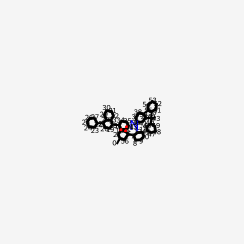 Cc1ccc(C)c(-c2ccccc2N(c2ccc(-c3ccc(-c4ccccc4)c4ccccc34)cc2)c2ccc3c(c2)C(C)(c2ccccc2)c2ccccc2-3)c1